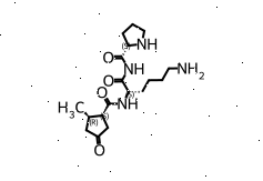 C[C@@H]1CC(=O)C[C@@H]1C(=O)N[C@@H](CCCCN)C(=O)NC(=O)[C@@H]1CCCN1